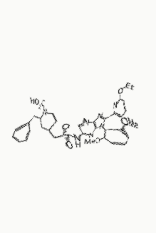 CCOc1cccc(-c2nc3ncc(NS(=O)(=O)CC4CCN(C(=O)O)C(Cc5ccccc5)C4)nc3n2-c2c(OC)cccc2OC)n1